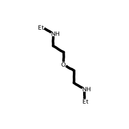 CCNCCOCCNCC